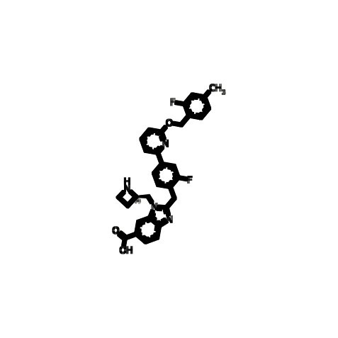 Cc1ccc(COc2cccc(-c3ccc(Cc4nc5ccc(C(=O)O)cc5n4C[C@H]4CCN4)c(F)c3)n2)c(F)c1